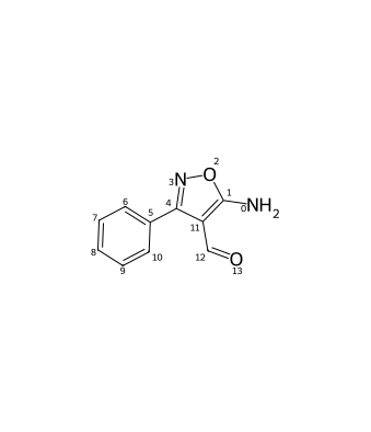 Nc1onc(-c2ccccc2)c1C=O